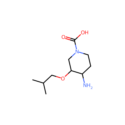 CC(C)COC1CN(C(=O)O)CCC1N